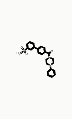 NS(=O)(=O)c1cccc(-c2ccc(C(=O)N3CCN(c4ccccc4)CC3)cc2)c1